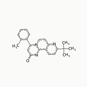 Cc1ccccc1-c1cc(=O)nc2c3ccc(C(C)(C)C)nc3ccn12